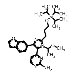 COC(C)n1c(CCCO[Si](C(C)C)(C(C)C)C(C)C)nc(-c2ccc3ccoc3c2)c1-c1ccnc(N)n1